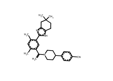 C=C(c1cc(-c2nc3c([nH]2)CCC(C)(C)C3)c(C)cc1C)N1CCC(c2ccc(C#N)cc2)CC1